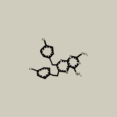 Nc1nc(N)c2nc(Cc3ccc(Cl)cc3)c(Cc3ccc(Cl)cc3)nc2n1